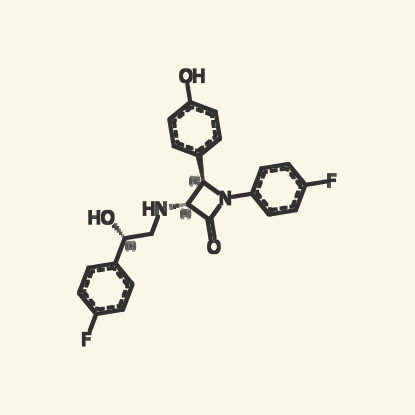 O=C1[C@H](NC[C@@H](O)c2ccc(F)cc2)[C@@H](c2ccc(O)cc2)N1c1ccc(F)cc1